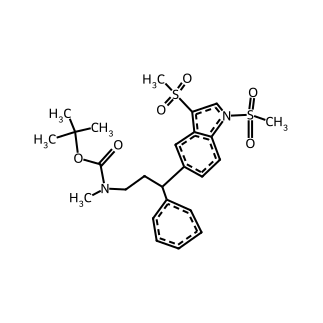 CN(CCC(c1ccccc1)c1ccc2c(c1)c(S(C)(=O)=O)cn2S(C)(=O)=O)C(=O)OC(C)(C)C